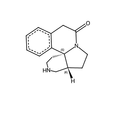 O=C1Cc2ccccc2[C@]23CCNC[C@H]2CCN13